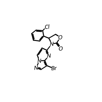 O=C1OCC(c2ccccc2Cl)N1c1ccn2ncc(Br)c2n1